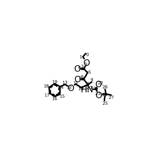 CCOC(=O)CC(=O)C(C)(CCOCc1ccccc1)NC(=O)OC(C)(C)C